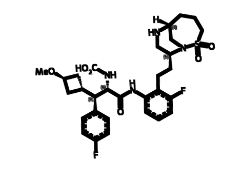 CO[C@H]1C[C@H]([C@H](c2ccc(F)cc2)[C@H](NC(=O)O)C(=O)Nc2cccc(F)c2CC[C@H]2CN[C@@H]3CCCS(=O)(=O)N2C3)C1